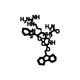 N=C(N)NCCC[C@H](NC(=O)[C@H](CCC(N)=O)NC(=O)OCC1c2ccccc2-c2ccccc21)C(=O)c1nc2ccccc2s1